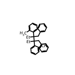 CCC(Cc1ccccc1)(c1ccccc1C)C(CC)(Cc1ccccc1)c1ccccc1C